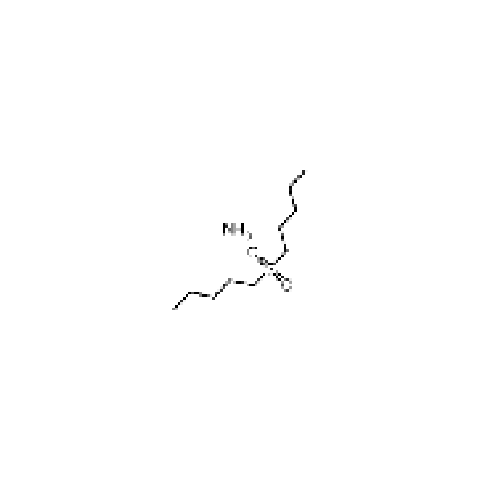 CCCCCS(=O)(=O)CCCCC.N